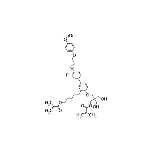 C=C(C)C(=O)OCCCCCc1cc(-c2ccc(OCCOc3ccc(OCCCCCCCC)cc3)c(F)c2)ccc1OCC(CO)(CO)COC(=O)C(=C)C